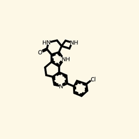 O=C1NCC2(CNC2)c2[nH]c3c(c21)CCc1cnc(-c2cccc(Cl)c2)cc1-3